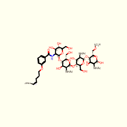 CCCCCC/C=C\CCCOc1cccc(C(=O)NC2[C@H](O[C@H]3C(O)C(NC(C)=O)[C@H](O[C@@H]4C(CO)O[C@@H](O[C@H]5C(O)C(NC(C)=O)[C@H](O)O[C@H]5COS(=O)(=O)O)C(NC(C)=O)[C@H]4O)O[C@H]3CO)OC(CO)[C@@H](O)[C@@H]2O)c1